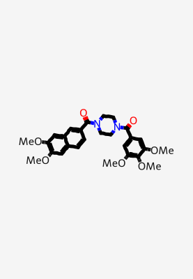 COc1cc2ccc(C(=O)N3CCN(C(=O)c4cc(OC)c(OC)c(OC)c4)CC3)cc2cc1OC